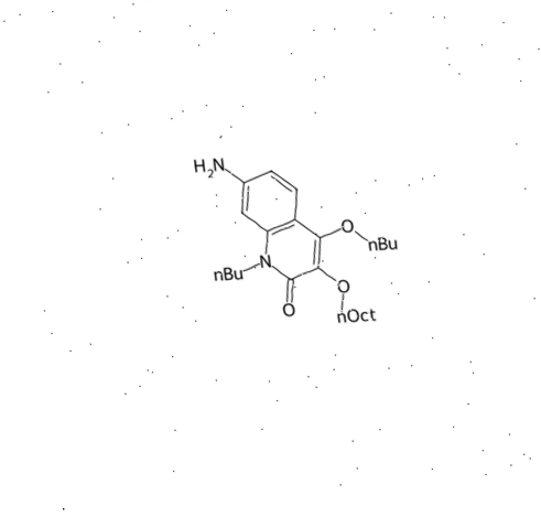 CCCCCCCCOc1c(OCCCC)c2ccc(N)cc2n(CCCC)c1=O